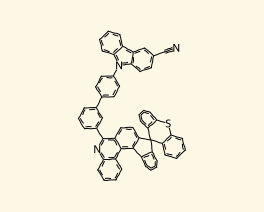 N#Cc1ccc2c(c1)c1ccccc1n2-c1ccc(-c2cccc(-c3nc4ccccc4c4c5c(ccc34)C3(c4ccccc4Sc4ccccc43)c3ccccc3-5)c2)cc1